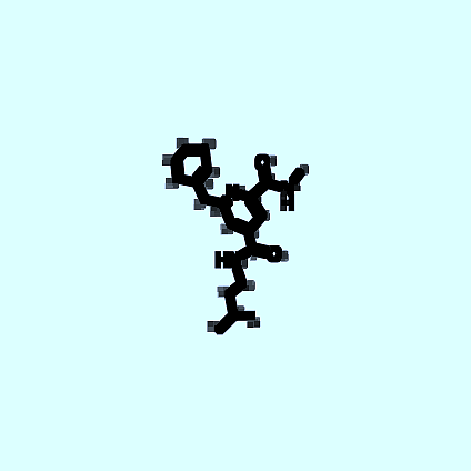 CNC(=O)c1cc(C(=O)NCCC(C)C)cc(Cc2ccccc2)n1